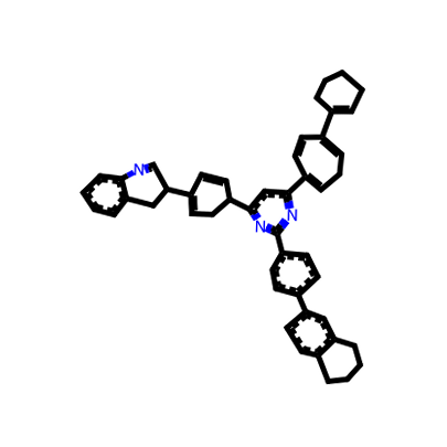 C1=CC(c2cc(C3C=CC(C4C=Nc5ccccc5C4)=CC3)nc(-c3ccc(-c4ccc5c(c4)CCCC5)cc3)n2)=CCC=C1C1=CCCCC1